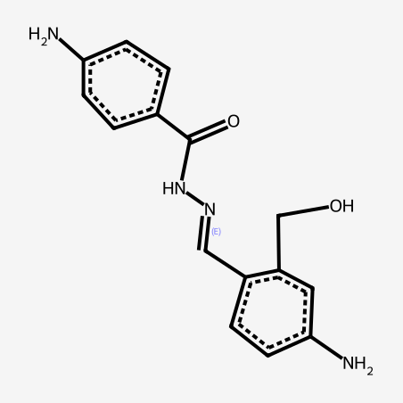 Nc1ccc(C(=O)N/N=C/c2ccc(N)cc2CO)cc1